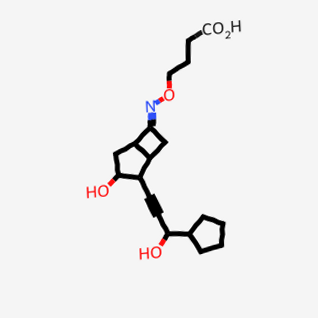 O=C(O)CCCON=C1CC2C1CC(O)C2C#CC(O)C1CCCC1